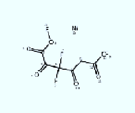 O=C(OF)C(=O)C(F)(F)C(=O)CC(=O)C(F)(F)F.[Ni]